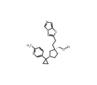 CCOC[C@]1(CCc2nn3cncc3s2)CCN(C2(c3ccc(C)nc3)CC2)C1